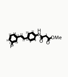 COC(=O)CC(=O)Nc1ccc(C=Cc2cccc(F)c2)cc1